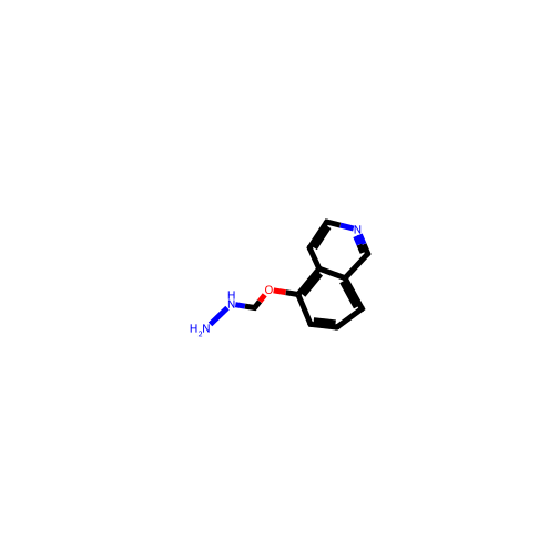 NNCOc1cccc2cnccc12